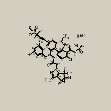 CC(C)(C#Cc1ccc(-c2ccc(Cl)c3c(NS(C)(=O)=O)nn(CC(F)(F)F)c23)c([C@H](Cc2cc(F)cc(F)c2)NC(=O)Cn2nc(C(F)(F)F)c3c2C(F)(F)[C@@H]2C[C@H]32)n1)S(C)(=O)=O.[NaH]